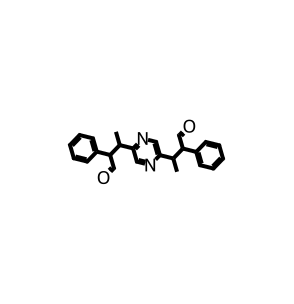 CC(c1cnc(C(C)C(C=O)c2ccccc2)cn1)C(C=O)c1ccccc1